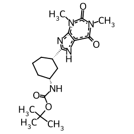 Cn1c(=O)c2[nH]c([C@H]3CCC[C@@H](NC(=O)OC(C)(C)C)C3)nc2n(C)c1=O